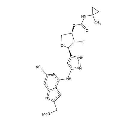 COCc1cn2c(Nc3cc([C@H]4OC[C@@H](OC(=O)NC5(C)CC5)[C@@H]4F)[nH]n3)nc(C#N)cc2n1